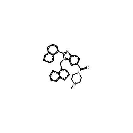 CN1CCN(C(=O)c2ccc3nc(-c4cccc5ccccc45)n(Cc4cccc5ccccc45)c3c2)CC1